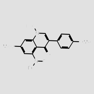 CCN(CC)c1cc(OC)cc2c1c(=O)c(-c1ccc(OC)cc1)cn2C